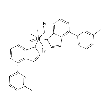 [CH2]=[Hf]([CH3])([CH3])([CH2]C(C)C)([CH2]C(C)C)([CH]1C=Cc2c(-c3cccc(C)c3)cccc21)[CH]1C=Cc2c(-c3cccc(C)c3)cccc21